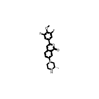 COc1c(F)cc(-c2cc3ccc(N4CCN[C@@H](C)C4)cc3c(=O)o2)cc1F